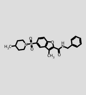 Cc1c(C(=O)NCc2ccccc2)oc2ccc(S(=O)(=O)N3CCC(C)CC3)cc12